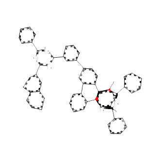 Cc1ccc(-c2ccc(-c3cccc(-c4nc(-c5ccccc5)nc(-c5ccc6ccccc6c5)n4)c3)cc2-c2ccccc2C2=CCC(c3ccccc3)=NC(c3ccccc3)=N2)c(C)c1